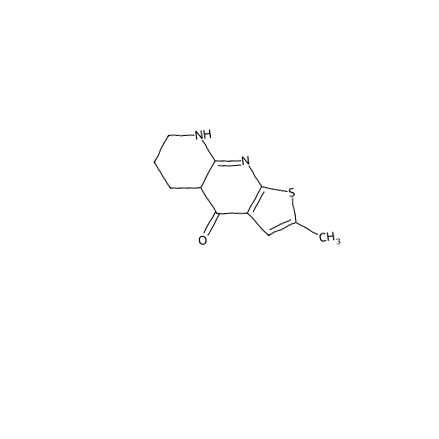 Cc1cc2c(s1)N=C1NCCCC1C2=O